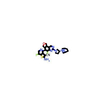 CN1C2CCC1CN([C@@H]1CCN(c3ncc4c5c(c(-c6ncc(F)c7sc(N)c(C#N)c67)c(F)c4n3)COC5)C1)C2